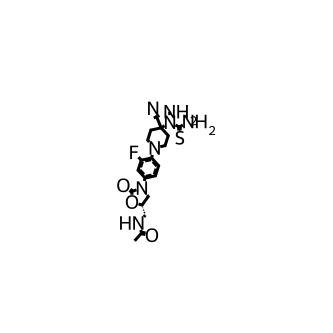 CC(=O)NC[C@H]1CN(c2ccc(N3CCC(C#N)(N(N)C(N)=S)CC3)c(F)c2)C(=O)O1